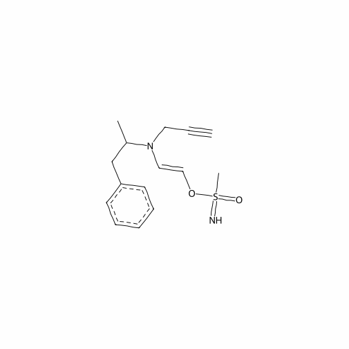 C#CCN(/C=C/OS(C)(=N)=O)C(C)Cc1ccccc1